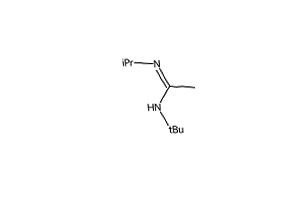 CC(=NC(C)C)NC(C)(C)C